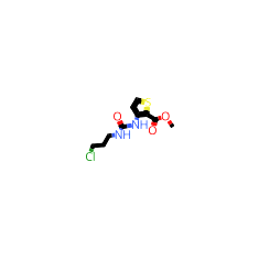 COC(=O)c1sccc1NC(=O)NCCCCl